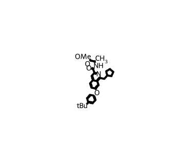 COC(=O)[C@H](C)NC(=O)c1cc2ccc(Oc3ccc(C(C)(C)C)cc3)cc2c(CC2CCCC2)n1